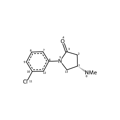 CN[C@H]1CC(=O)N(c2cccc(Cl)c2)C1